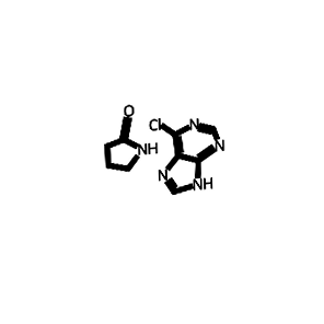 Clc1ncnc2[nH]cnc12.O=C1CCCN1